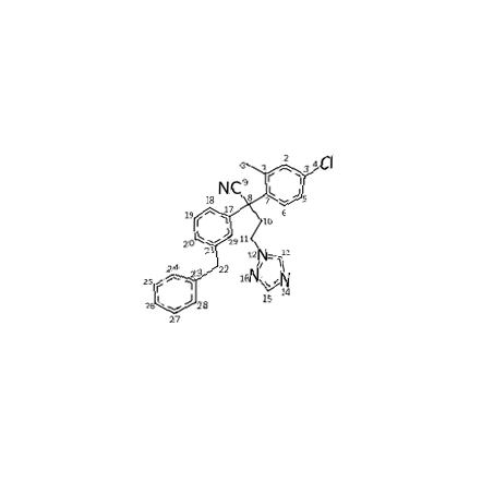 Cc1cc(Cl)ccc1C(C#N)(CCn1cncn1)c1cccc(Cc2ccccc2)c1